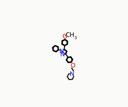 COc1ccc(-c2cc(-c3ccc(OCCN4CCCCC4)cc3)nn2-c2ccccc2)cc1